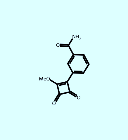 COc1c(-c2cccc(C(N)=O)c2)c(=O)c1=O